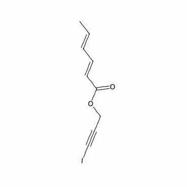 CC=CC=CC(=O)OCC#CI